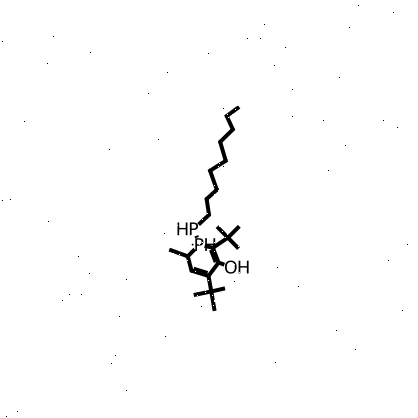 CCCCCCCCCP[PH]1C(C(C)(C)C)=C(O)C(C(C)(C)C)=CC1C